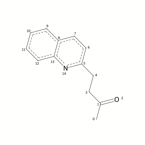 CC(=O)CCc1ccc2ccccc2n1